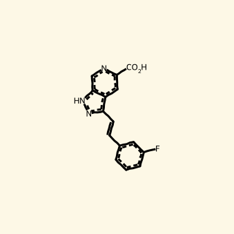 O=C(O)c1cc2c(C=Cc3cccc(F)c3)n[nH]c2cn1